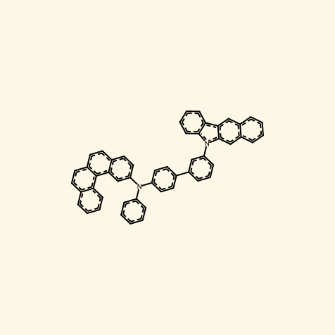 c1ccc(N(c2ccc(-c3cccc(-n4c5ccccc5c5cc6ccccc6cc54)c3)cc2)c2ccc3ccc4ccc5ccccc5c4c3c2)cc1